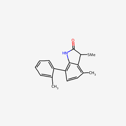 CSC1C(=O)Nc2c(-c3ccccc3C)ccc(C)c21